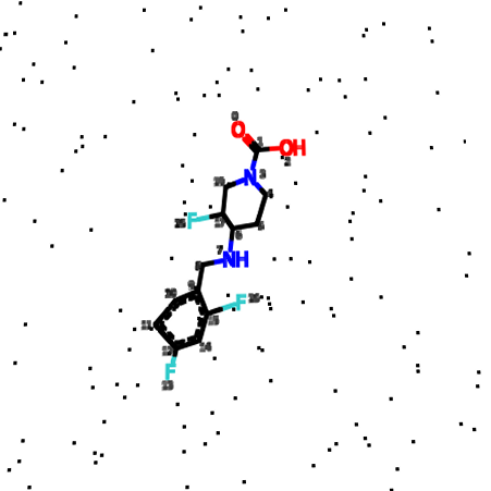 O=C(O)N1CCC(NCc2ccc(F)cc2F)C(F)C1